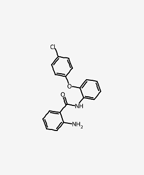 Nc1ccccc1C(=O)Nc1ccccc1Oc1ccc(Cl)cc1